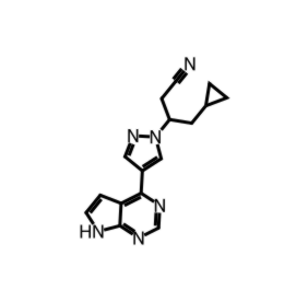 N#CCC(CC1CC1)n1cc(-c2ncnc3[nH]ccc23)cn1